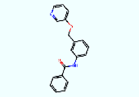 O=C(Nc1cccc(COc2cccnc2)c1)c1ccccc1